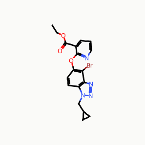 CCOC(=O)c1cccnc1Oc1ccc2c(nnn2CC2CC2)c1Br